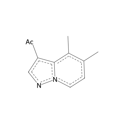 CC(=O)c1cnn2ccc(C)c(C)c12